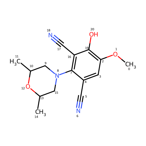 COc1cc(C#N)c(N2CC(C)OC(C)C2)c(C#N)c1O